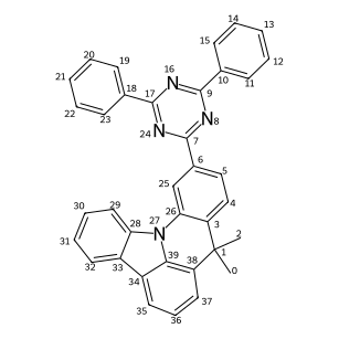 CC1(C)c2ccc(-c3nc(-c4ccccc4)nc(-c4ccccc4)n3)cc2-n2c3ccccc3c3cccc1c32